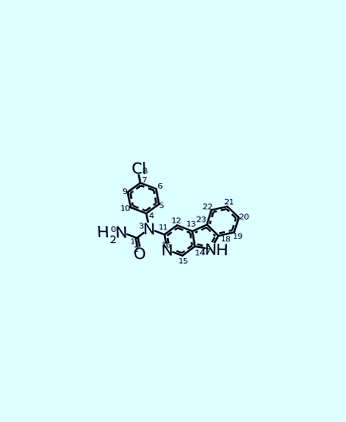 NC(=O)N(c1ccc(Cl)cc1)c1cc2c(cn1)[nH]c1ccccc12